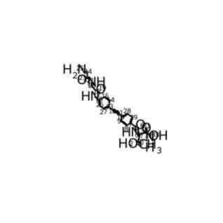 C[C@@H](O)[C@H](NC(=O)c1ccc(C#Cc2ccc(NC(=O)CNC(=O)CN)cc2)cc1)C(=O)NO